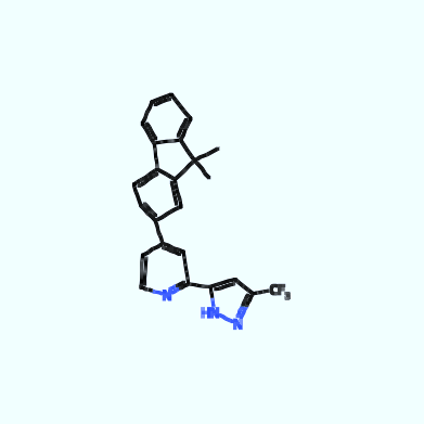 CC1(C)c2ccccc2-c2ccc(-c3ccnc(-c4cc(C(F)(F)F)n[nH]4)c3)cc21